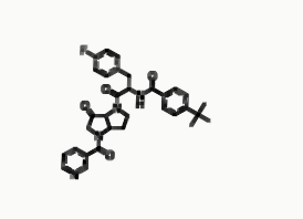 CC(C)(C)c1ccc(C(=O)NC(Cc2ccc(F)cc2)C(=O)N2CCC3C2C(=O)CN3C(=O)c2cccnc2)cc1